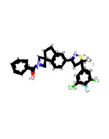 O=C(c1ccccc1)N1CC2(CCc3cc(C4=NSC(c5cc(Cl)c(F)c(Cl)c5)(C(F)(F)F)C4)ccc32)C1